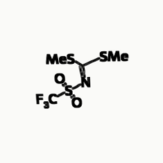 CSC(=NS(=O)(=O)C(F)(F)F)SC